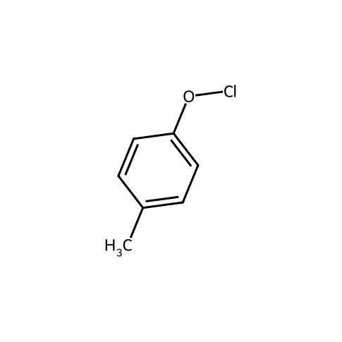 Cc1ccc(OCl)cc1